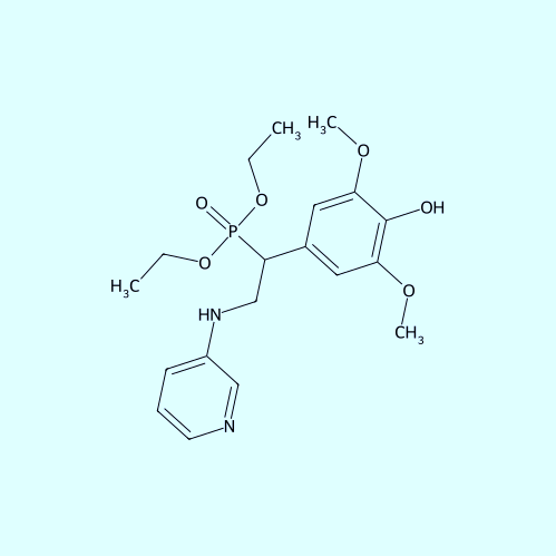 CCOP(=O)(OCC)C(CNc1cccnc1)c1cc(OC)c(O)c(OC)c1